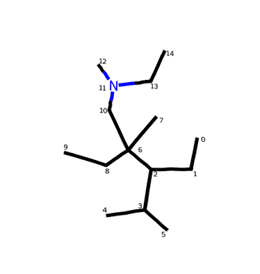 CCC(C(C)C)C(C)(CC)CN(C)CC